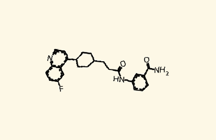 NC(=O)c1cccc(NC(=O)CCC2CCC(c3ccnc4ccc(F)cc34)CC2)c1